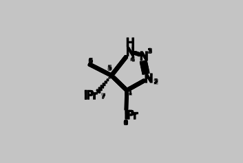 CC(C)C1N=NN[C@@]1(C)C(C)C